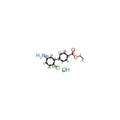 CCOC(=O)c1ccc(-c2cc(N)ccc2Cl)cc1.Cl